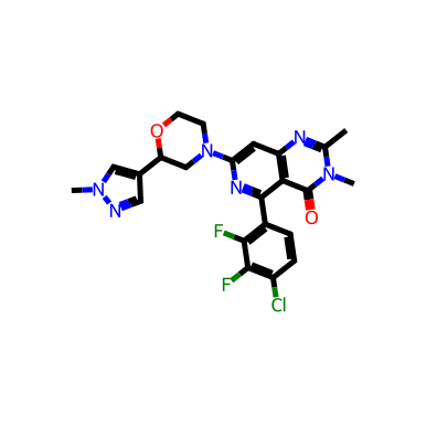 Cc1nc2cc(N3CCOC(c4cnn(C)c4)C3)nc(-c3ccc(Cl)c(F)c3F)c2c(=O)n1C